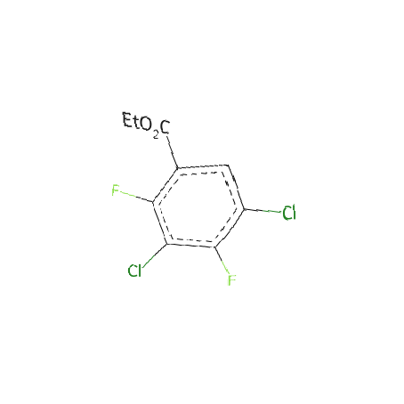 CCOC(=O)c1cc(Cl)c(F)c(Cl)c1F